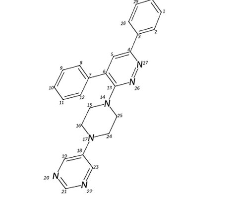 c1ccc(-c2cc(-c3ccccc3)c(N3CCN(c4cncnc4)CC3)nn2)cc1